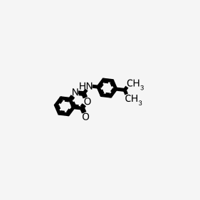 CC(C)c1ccc(Nc2nc3ccccc3c(=O)o2)cc1